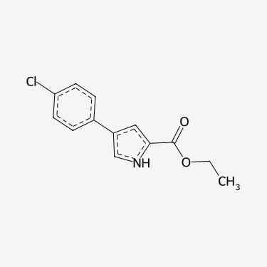 CCOC(=O)c1cc(-c2ccc(Cl)cc2)c[nH]1